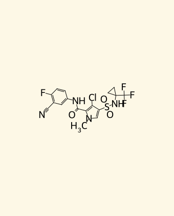 Cn1cc(S(=O)(=O)NC2(C(F)(F)F)CC2)c(Cl)c1C(=O)Nc1ccc(F)c(C#N)c1